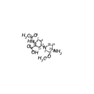 COC1CN(c2ccc(NC(C)=O)c(C(=O)O)c2)CCC1N